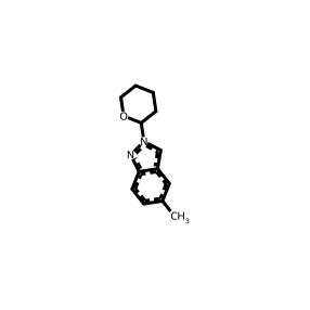 Cc1ccc2nn(C3CCCCO3)cc2c1